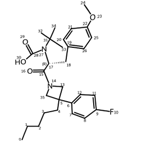 CCCCCC1(c2ccc(F)cc2)CN(C(=O)[C@@H](Cc2ccc(OC)cc2)N(C(=O)O)C(C)(C)C)C1